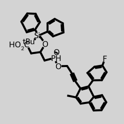 Cc1cc2ccccc2c(-c2ccc(F)cc2)c1C#CCO[PH](=O)CC(CC(=O)O)O[Si](c1ccccc1)(c1ccccc1)C(C)(C)C